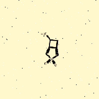 CC1CC2=CS(=O)(=O)C=C21